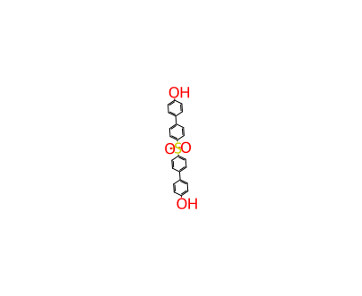 O=S(=O)(c1ccc(-c2ccc(O)cc2)cc1)c1ccc(-c2ccc(O)cc2)cc1